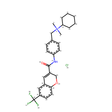 C[N+](C)(Cc1ccc(NC(=O)C2=Cc3cc(C(F)(F)F)ccc3OC2)cc1)C1CCCCC1.[Cl-]